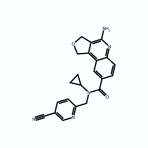 N#Cc1ccc(CN(C(=O)c2ccc3nc(N)c4c(c3c2)COC4)C2CC2)nc1